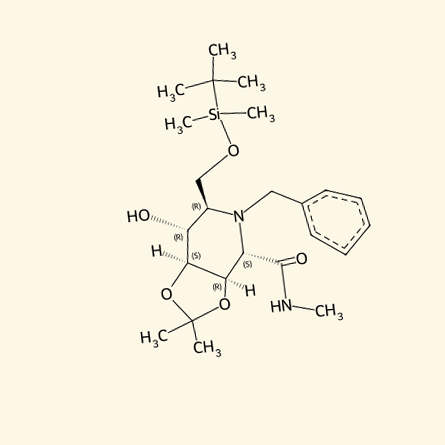 CNC(=O)[C@@H]1[C@H]2OC(C)(C)O[C@H]2[C@H](O)[C@@H](CO[Si](C)(C)C(C)(C)C)N1Cc1ccccc1